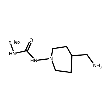 CCCCCCNC(=O)NN1CCC(CN)CC1